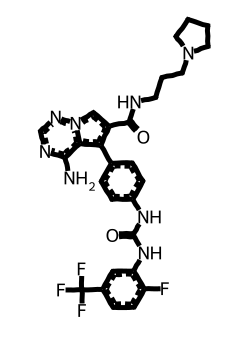 Nc1ncnn2cc(C(=O)NCCCN3CCCC3)c(-c3ccc(NC(=O)Nc4cc(C(F)(F)F)ccc4F)cc3)c12